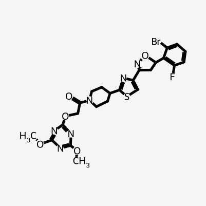 COc1nc(OC)nc(OCC(=O)N2CCC(c3nc(C4=NOC(c5c(F)cccc5Br)C4)cs3)CC2)n1